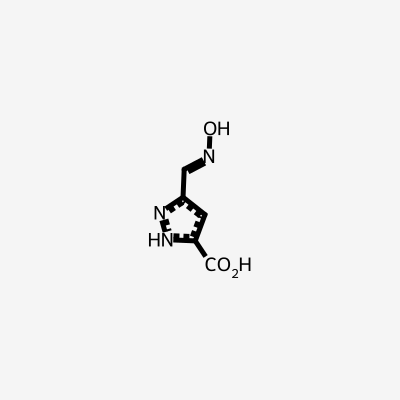 O=C(O)c1cc(C=NO)n[nH]1